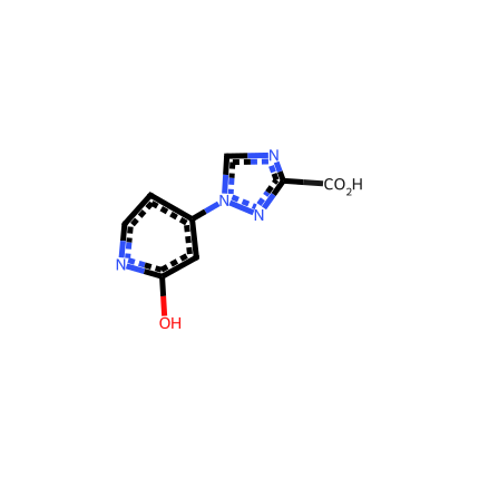 O=C(O)c1ncn(-c2ccnc(O)c2)n1